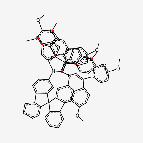 COc1ccc(C(=CN(C=C(c2ccc(OC)cc2)c2ccc(OC)cc2)c2ccc3c(c2)C2(c4ccccc4-3)c3ccccc3-c3ccc(N(C=C(c4ccc(OC)cc4)c4ccc(OC)cc4)C=C(c4ccc(OC)cc4)c4ccc(OC)cc4)cc32)c2ccc(OC)cc2)cc1